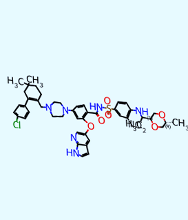 CC(Nc1ccc(S(=O)(=O)NC(=O)c2ccc(N3CCN(CC4=C(c5ccc(Cl)cc5)CC(C)(C)CC4)CC3)cc2Oc2cnc3[nH]ccc3c2)cc1[N+](=O)[O-])[C@H]1CO[C@H](C)CO1